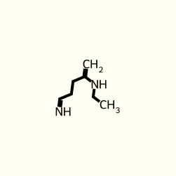 C=C(CCC=N)NCC